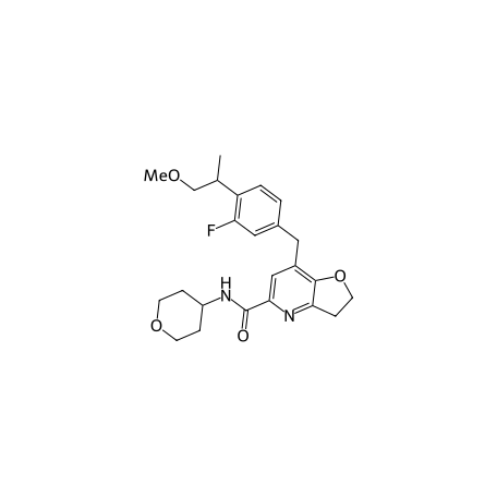 COCC(C)c1ccc(Cc2cc(C(=O)NC3CCOCC3)nc3c2OCC3)cc1F